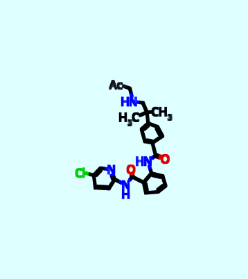 CC(=O)CNCC(C)(C)c1ccc(C(=O)Nc2ccccc2C(=O)Nc2ccc(Cl)cn2)cc1